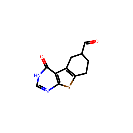 O=CC1CCc2sc3nc[nH]c(=O)c3c2C1